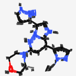 CCn1nccc1-c1cc(N2CCOC[C@H]2C)nn2c(-c3ccn[nH]3)cnc12